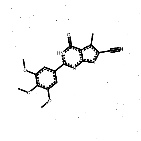 COc1cc(-c2nc3sc(C#N)c(C)c3c(=O)[nH]2)cc(OC)c1OC